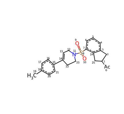 CC(=O)C1Cc2cccc(S(=O)(=O)N3CC=C(c4ccc(C)cc4)CC3)c2C1